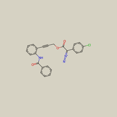 [N-]=[N+]=C(C(=O)OCC#Cc1ccccc1NC(=O)c1ccccc1)c1ccc(Cl)cc1